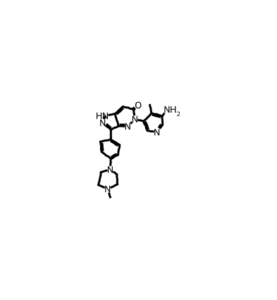 Cc1c(N)cncc1-n1nc2c(-c3ccc(N4CCN(C)CC4)cc3)n[nH]c2cc1=O